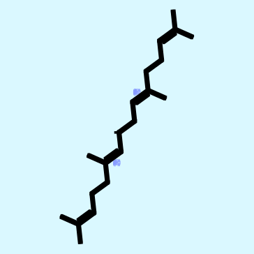 CC(C)=CCC/C(C)=C/[CH]C/C=C(\C)CCC=C(C)C